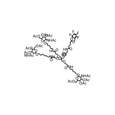 CC(=O)NC1C(OC(C)=O)[C@@H](OC(C)=O)C(COC(C)=O)O[C@H]1OCCCCCCNC(=O)CCOCC(COCCC(=O)NCCCCCO[C@@H]1OC(COC(C)=O)[C@H](OC(C)=O)C(OC(C)=O)C1NC(C)=O)(COCCC(=O)NCCCCCO[C@@H]1OC(COC(C)=O)[C@H](OC(C)=O)C(OC(C)=O)C1NC(C)=O)Cn1cc(CNC(=O)CCCC(=O)Oc2c(F)c(F)c(F)c(F)c2F)nn1